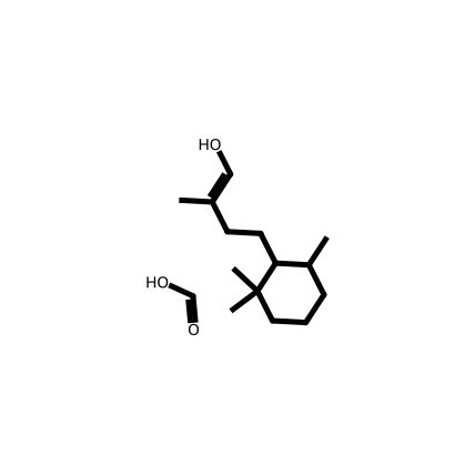 CC(=CO)CCC1C(C)CCCC1(C)C.O=CO